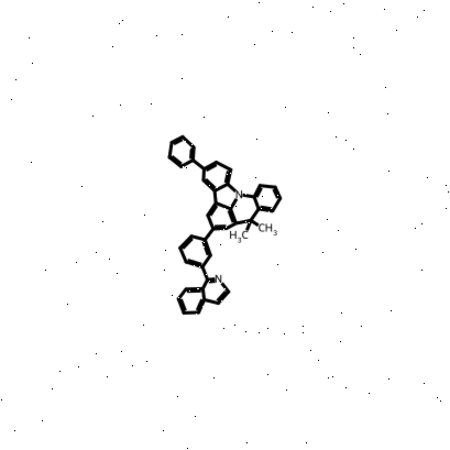 CC1(C)c2ccccc2-n2c3ccc(-c4ccccc4)cc3c3cc(-c4cccc(-c5nccc6ccccc56)c4)cc1c32